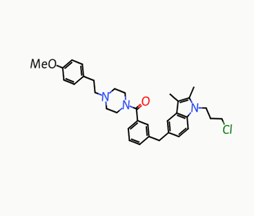 COc1ccc(CCN2CCN(C(=O)c3cccc(Cc4ccc5c(c4)c(C)c(C)n5CCCCl)c3)CC2)cc1